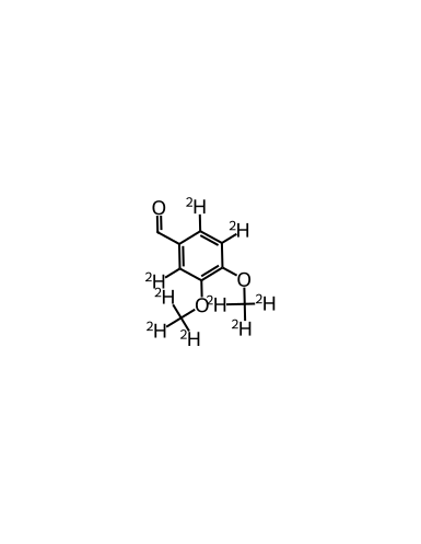 [2H]c1c([2H])c(OC([2H])([2H])[2H])c(OC([2H])([2H])[2H])c([2H])c1C=O